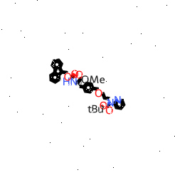 COC(=O)[C@H](Cc1ccc(COCCCN(C(=O)OC(C)(C)C)c2ccccn2)cc1)NC(=O)OCC1c2ccccc2-c2ccccc21